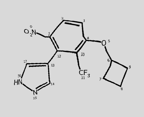 O=[N+]([O-])c1ccc(OC2CCC2)c(C(F)(F)F)c1-c1cn[nH]c1